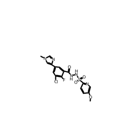 COc1ccc(S(=O)(=O)NNC(=O)c2cc(-c3cn(C)cn3)cc(Cl)c2F)nc1